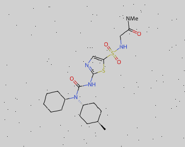 CNC(=O)CNS(=O)(=O)c1cnc(NC(=O)N(C2CCCCC2)[C@H]2CC[C@H](C)CC2)s1